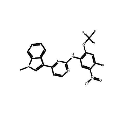 Cn1cc(-c2ccnc(Nc3cc([N+](=O)[O-])c(F)cc3OC(F)(F)F)n2)c2ccccc21